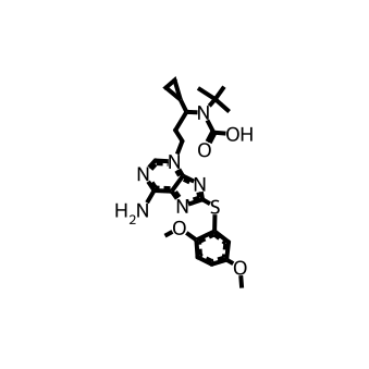 COc1ccc(OC)c(Sc2nc3c(N)ncn(CCC(C4CC4)N(C(=O)O)C(C)(C)C)c-3n2)c1